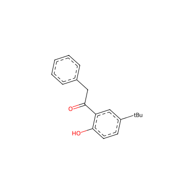 CC(C)(C)c1ccc(O)c(C(=O)Cc2ccccc2)c1